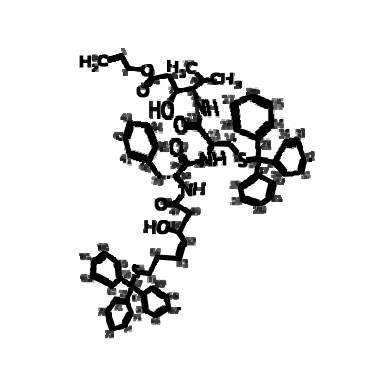 C=CCOC(=O)C[C@H](O)[C@H](NC(=O)C(CSC(c1ccccc1)(c1ccccc1)c1ccccc1)NC(=O)[C@@H](Cc1ccccc1)NC(=O)C[C@H](O)/C=C\CCSC(c1ccccc1)(c1ccccc1)c1ccccc1)C(C)C